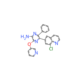 Nc1nc(-c2ccccc2)c(-c2cc(Cl)c3ncccc3c2)nc1Oc1cccnc1